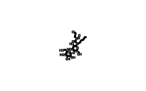 CCCCCN(C(=O)N(CCCl)N=O)C1O[C@H](CO)[C@@H](O[C@H]2O[C@H](CO)[C@@H](O)[C@H](O)[C@H]2O)[C@H](O)[C@H]1O